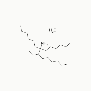 CCCCCCC(CC)C(N)(CCCCCC)CCCCCC.O